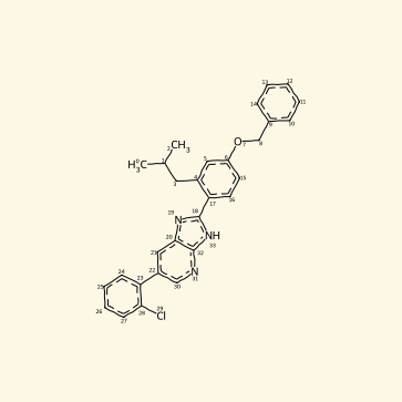 CC(C)Cc1cc(OCc2ccccc2)ccc1-c1nc2cc(-c3ccccc3Cl)cnc2[nH]1